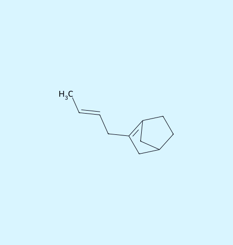 CC=CCC1=C2CCC(C1)C2